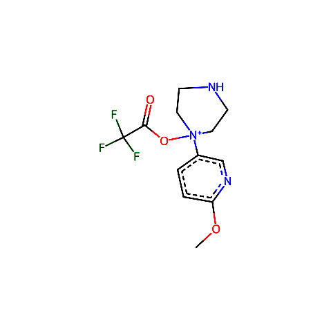 COc1ccc([N+]2(OC(=O)C(F)(F)F)CCNCC2)cn1